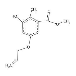 C=CCOc1cc(O)c(C)c(C(=O)OC)c1